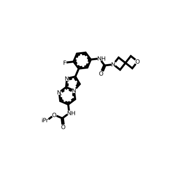 CC(C)OC(=O)Nc1cnc2nc(-c3cc(NC(=O)N4CC5(COC5)C4)ccc3F)cn2c1